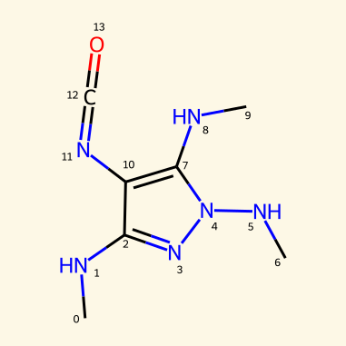 CNc1nn(NC)c(NC)c1N=C=O